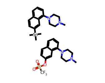 CN1CCN(c2cccc3cc[c]([Sn]([CH3])([CH3])[CH3])cc23)CC1.CN1CCN(c2cccc3ccc(OS(=O)(=O)C(F)(F)F)cc23)CC1